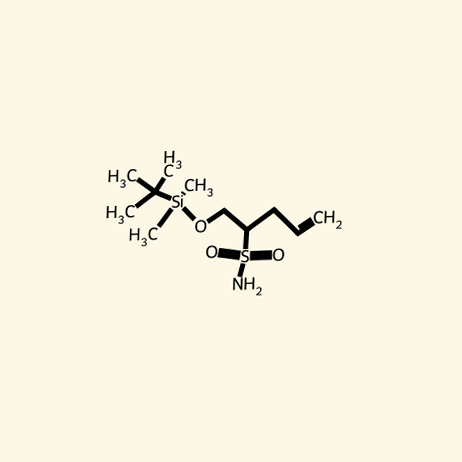 C=CCC(CO[Si](C)(C)C(C)(C)C)S(N)(=O)=O